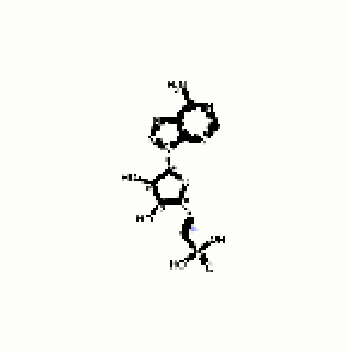 Nc1ncnc2c1nnn2[C@@H]1O[C@H](/C=C/P(=O)(O)O)[C@@H](O)[C@H]1O